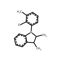 Cc1cccc(N2c3ccccc3C(C)C2C)c1Cl